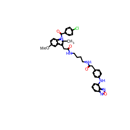 COc1ccc2c(c1)c(CC(=O)NCCCCNC(=O)Cc1ccc(Nc3cccc4nonc34)cc1)c(C)n2C(=O)c1ccc(Cl)cc1